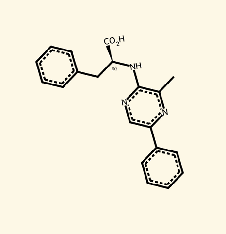 Cc1nc(-c2ccccc2)cnc1N[C@@H](Cc1ccccc1)C(=O)O